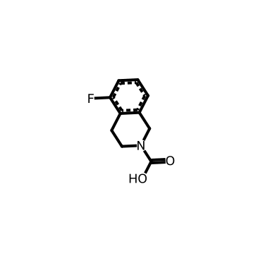 O=C(O)N1CCc2c(F)cccc2C1